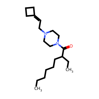 CCCCCCC(CC)C(=O)N1CCN(CC=C2CCC2)CC1